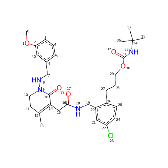 COc1cccc(CNN2CCC(C)=C(CC(=O)NCc3cc(Cl)ccc3CCCOC(=O)NC(C)(C)C)C2=O)c1